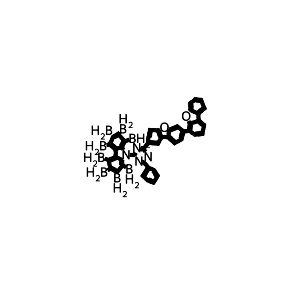 Bc1c(B)c(B)c2c(c1B)c1c(B)c(B)c(B)c(B)c1n2-c1nc(-c2ccccc2)nc(-c2ccc3oc4cc(-c5cccc6c5oc5ccccc56)ccc4c3c2)n1